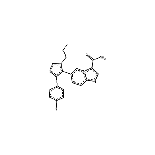 CCCn1cnc(-c2ccc(F)cc2)c1-c1ccc2ncc(C(N)=O)n2c1